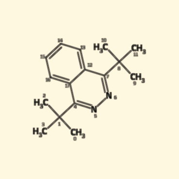 CC(C)(C)c1nnc(C(C)(C)C)c2ccccc12